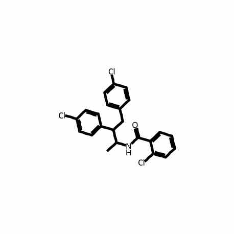 CC(NC(=O)c1ccccc1Cl)C(Cc1ccc(Cl)cc1)c1ccc(Cl)cc1